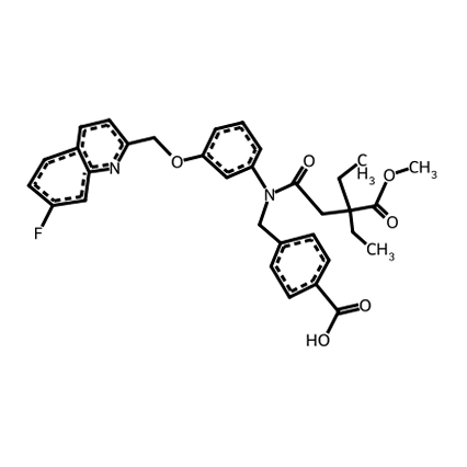 CCC(CC)(CC(=O)N(Cc1ccc(C(=O)O)cc1)c1cccc(OCc2ccc3ccc(F)cc3n2)c1)C(=O)OC